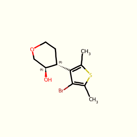 Cc1sc(C)c([C@H]2CCOC[C@@H]2O)c1Br